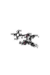 COc1ccc(C[C@H](NC(=O)[C@@H](CCCNC(C)=O)NC(=O)OC(C)(C)C)C(=O)NC2[C@@H](COP(=O)(O)O[C@@H]3C[C@H](n4ccc(N)nc4=O)O[C@@H]3COP(=O)(O)OCCCCCCNC(=O)CN3CCN(CC(=O)O)CCN(CC(=O)O)CCN(CC(=O)O)CC3)O[C@@H](n3cnc4c(N(C)C)ncnc43)[C@H]2O)cc1